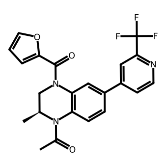 CC(=O)N1c2ccc(-c3ccnc(C(F)(F)F)c3)cc2N(C(=O)c2ccco2)C[C@@H]1C